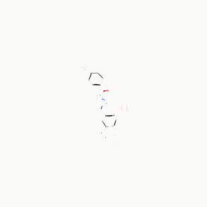 O=C(NN=Cc1cc([N+](=O)[O-])ccc1O)c1ccc(Br)cc1